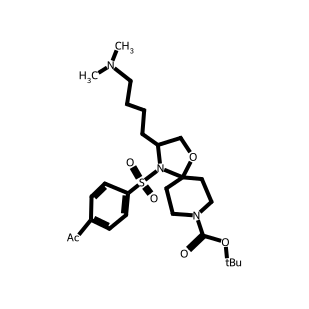 CC(=O)c1ccc(S(=O)(=O)N2C(CCCCN(C)C)COC23CCN(C(=O)OC(C)(C)C)CC3)cc1